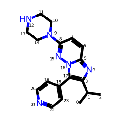 CC(C)c1nc2ccc(N3CCNCC3)nn2c1-c1ccncc1